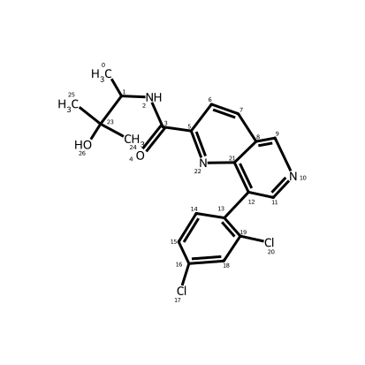 CC(NC(=O)c1ccc2cncc(-c3ccc(Cl)cc3Cl)c2n1)C(C)(C)O